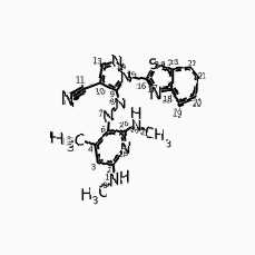 CNc1cc(C)c(/N=N/c2c(C#N)cnn2-c2nc3ccccc3s2)c(NC)n1